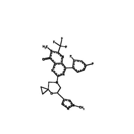 Cn1cc(C2CN(c3nc(-c4ccc(F)cc4F)c4nc(C(F)(F)F)n(C)c(=O)c4n3)CC3(CC3)O2)cn1